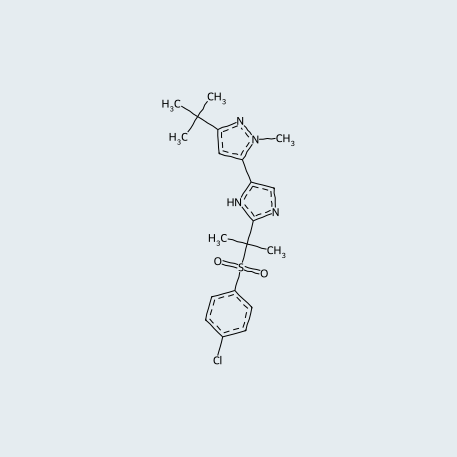 Cn1nc(C(C)(C)C)cc1-c1cnc(C(C)(C)S(=O)(=O)c2ccc(Cl)cc2)[nH]1